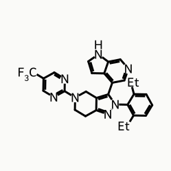 CCc1cccc(CC)c1-n1nc2c(c1-c1cncc3[nH]ccc13)CN(c1ncc(C(F)(F)F)cn1)CC2